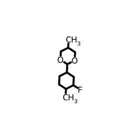 CC1COC(C2CCC(C)C(F)C2)OC1